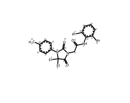 CCC1(CC)C(=O)N(CC(=O)Nc2c(C(C)C)cccc2C(C)C)C(=O)N1c1ccc(C)cc1